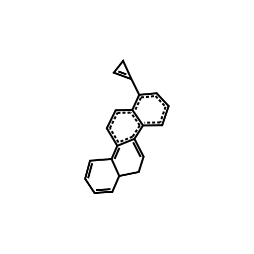 C1=CC2=c3ccc4c(C5=CC5)cccc4c3=CCC2C=C1